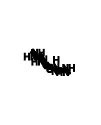 CC(C)NC(=N)c1ccc2nc(-c3ccc4oc(-c5nc6ccc(C(=N)NC(C)C)cc6[nH]5)cc4c3)[nH]c2c1